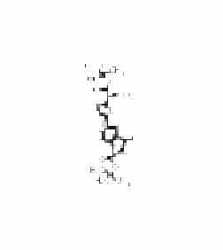 CN(C(=O)OC(C)(C)C)c1nnc(-c2ccc3c(c2)c(I)cn3C(=O)OC(C)(C)C)s1